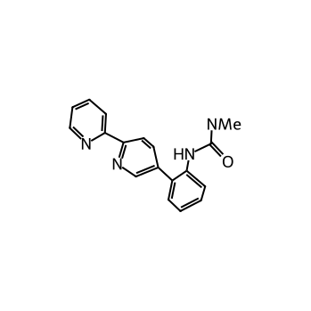 CNC(=O)Nc1ccccc1-c1ccc(-c2ccccn2)nc1